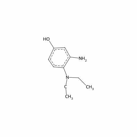 CCN(CC)c1ccc(O)cc1N